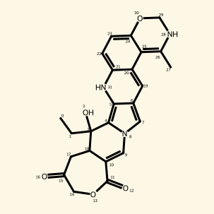 CCC1(O)c2c3c(cn2C=C2C(=O)OCC(=O)CC21)C=c1c(ccc2c1=C(C)NCO2)N3